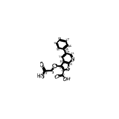 O=C(O)COc1c(C(=O)O)sc2ncc(-c3ccccc3)cc12